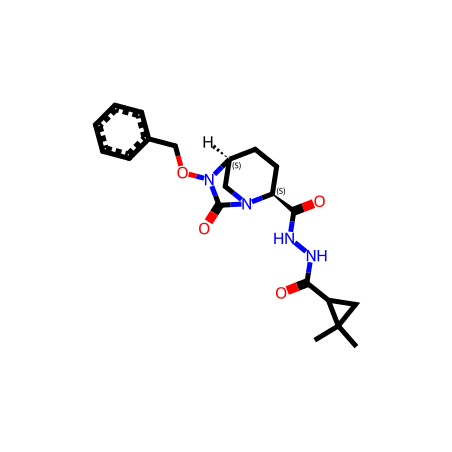 CC1(C)CC1C(=O)NNC(=O)[C@@H]1CC[C@H]2CN1C(=O)N2OCc1ccccc1